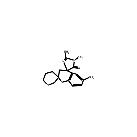 Bc1ccc2c(c1)C1(CC3(CCCOC3)O2)N=C(N)N(C)C1=O